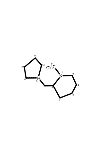 O=CN1CCCCC1CN1CCCC1